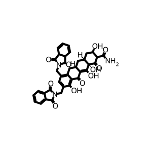 NC(=O)C1C(=O)[C@@]2(O)C(O)=C3C(=O)c4c(O)c(CN5C(=O)c6ccccc6C5=O)cc(CN5C(=O)C6C=CC=CC6C5=O)c4C[C@H]3C[C@H]2CC1O